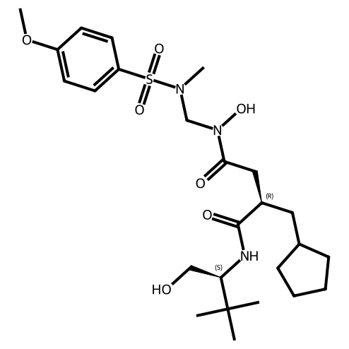 COc1ccc(S(=O)(=O)N(C)CN(O)C(=O)C[C@@H](CC2CCCC2)C(=O)N[C@H](CO)C(C)(C)C)cc1